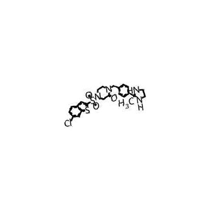 CC1(c2ccc(CN3CCN(S(=O)(=O)c4cc5ccc(Cl)cc5s4)CC3=O)cc2)NCCN1